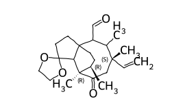 C=C[C@]1(C)CC(=O)[C@@]2(C)C3C4(CCC3(CC[C@H]2C)C(C=O)C1C)OCCO4